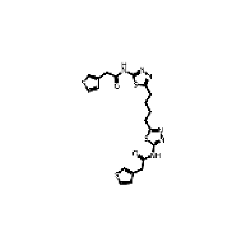 O=C(Cc1ccsc1)Nc1nnc(CCCCc2nnc(NC(=O)Cc3ccsc3)s2)s1